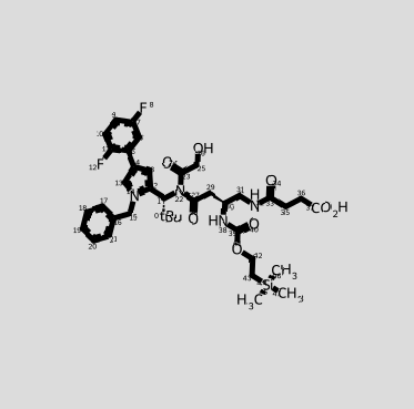 CC(C)(C)[C@H](c1cc(-c2cc(F)ccc2F)cn1Cc1ccccc1)N(C(=O)CO)C(=O)C[C@@H](CNC(=O)CCC(=O)O)NC(=O)OCC[Si](C)(C)C